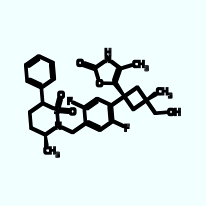 Cc1[nH]c(=O)oc1[C@]1(c2cc(F)c(CN3[C@@H](C)CCC(c4ccccc4)S3(=O)=O)cc2F)C[C@@](C)(CO)C1